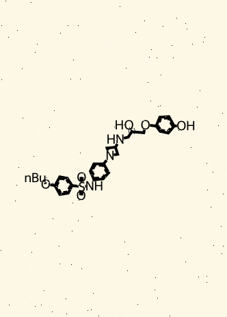 CCCCOc1ccc(S(=O)(=O)Nc2ccc(N3CC(NC[C@H](O)COc4ccc(O)cc4)C3)cc2)cc1